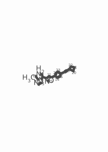 CCc1nccn1C(CN)c1cc(-c2ccc(C#CC3CCC3)cc2)on1